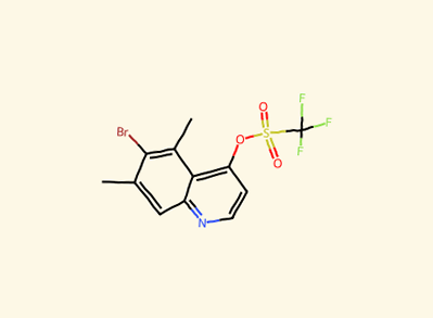 Cc1cc2nccc(OS(=O)(=O)C(F)(F)F)c2c(C)c1Br